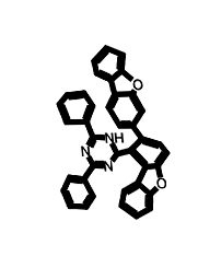 c1ccc(C2=NC(c3c(-c4ccc5c(c4)oc4ccccc45)ccc4oc5ccccc5c34)NC(c3ccccc3)=N2)cc1